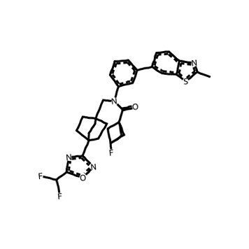 Cc1nc2ccc(-c3cccc(N(CC45CCC(c6noc(C(F)F)n6)(CC4)CC5)C(=O)C45CC(F)(C4)C5)c3)cc2s1